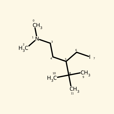 CN(C)CCC(CI)C(C)(C)C